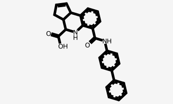 O=C(Nc1ccc(-c2ccccc2)cc1)c1cccc2c1NC(C(=O)O)C1CC=CC21